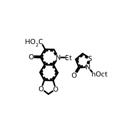 CCCCCCCCn1sccc1=O.CCn1cc(C(=O)O)c(=O)c2cc3c(cc21)OCO3